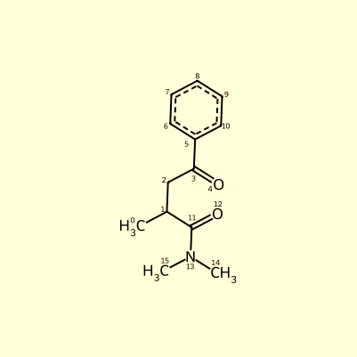 CC(CC(=O)c1ccccc1)C(=O)N(C)C